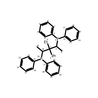 CCC(C(C)C)(C(C)P(c1ccccc1)c1ccccc1)C(C)P(c1ccccc1)c1ccccc1